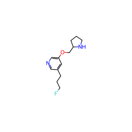 FCCCc1cncc(OCC2CCCN2)c1